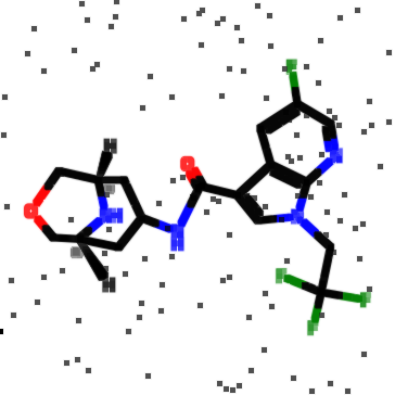 O=C(NC1C[C@H]2COC[C@@H](C1)N2)c1cn(CC(F)(F)F)c2ncc(F)cc12